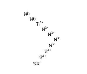 [N-3].[N-3].[N-3].[N-3].[Nb].[Nb].[Nb].[Ti+4].[Ti+4].[Ti+4]